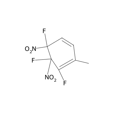 CC1=C(F)C(F)([N+](=O)[O-])C(F)([N+](=O)[O-])C=C1